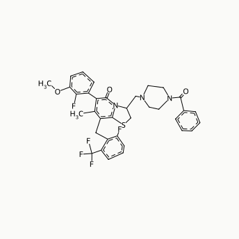 COc1cccc(-c2c(C)c(Cc3c(F)cccc3C(F)(F)F)c3n(c2=O)C(CN2CCN(C(=O)c4ccccc4)CC2)CS3)c1F